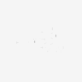 COC(=O)CC(=O)CC(O)/C=C/C1=C(c2ccc(F)c(C)c2)CC(C)(C)CC1(C)C